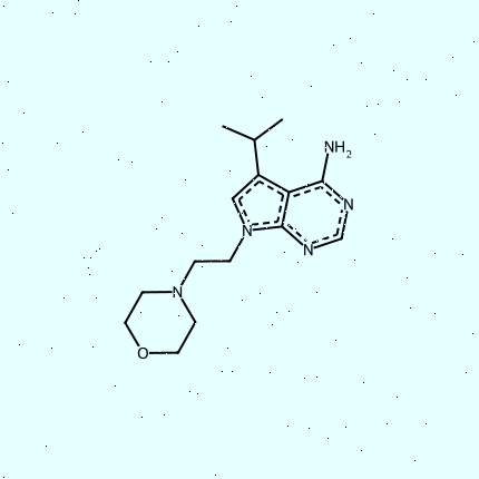 CC(C)c1cn(CCN2CCOCC2)c2ncnc(N)c12